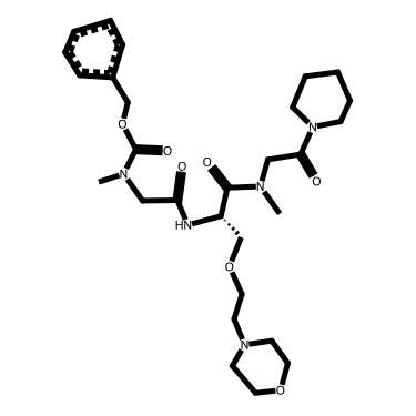 CN(CC(=O)N[C@@H](COCCN1CCOCC1)C(=O)N(C)CC(=O)N1CCCCC1)C(=O)OCc1ccccc1